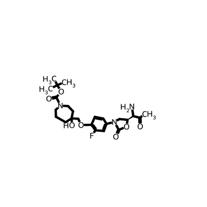 CC(=O)C(N)[C@@H]1CN(c2ccc(OCC3(O)CCCN(C(=O)OC(C)(C)C)CC3)c(F)c2)C(=O)O1